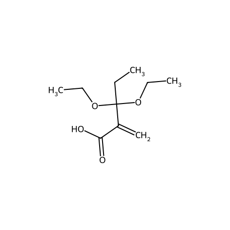 C=C(C(=O)O)C(CC)(OCC)OCC